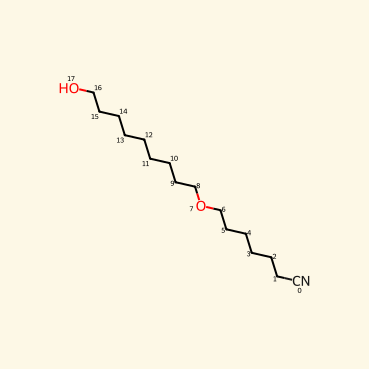 N#CCCCCCCOCCCCCCCCCO